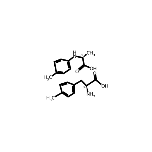 Cc1ccc(C[C@H](N)C(=O)O)cc1.Cc1ccc(N[C@@H](C)C(=O)O)cc1